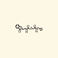 O=C(CSCC(=O)NCC1CCC1)NCCN1Cc2ccccc2C1=O